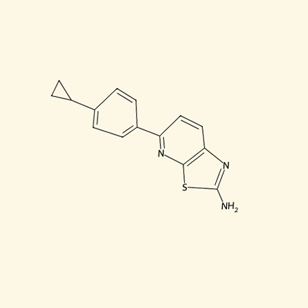 Nc1nc2ccc(-c3ccc(C4CC4)cc3)nc2s1